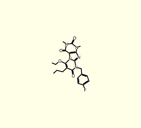 CCCc1c(OCC)n2c3c(=O)n(C)c(=O)n(C)c3nc2n(Cc2ccc(F)cc2)c1=O